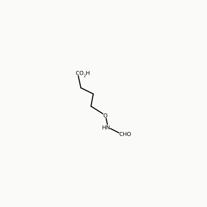 O=CNOCCCC(=O)O